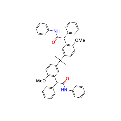 COc1ccc(C(C)(C)c2ccc(OC)c(C(C(=O)Nc3ccccc3)c3ccccc3)c2)cc1C(C(=O)Nc1ccccc1)c1ccccc1